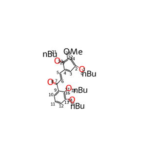 CCCCOc1cc(/C=C/C(=O)c2cccc(OCCCC)c2OCCCC)c(OCCCC)c(OC)c1